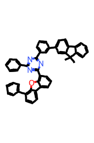 CC1(C)c2ccccc2-c2ccc(-c3cccc(-c4nc(-c5ccccc5)nc(-c5cccc6c5oc5c(-c7ccccc7)cccc56)n4)c3)cc21